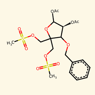 CC(=O)OC1OC(COS(C)(=O)=O)(COS(C)(=O)=O)C(OCc2ccccc2)[C@@H]1OC(C)=O